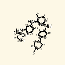 Cc1cnc(Nc2ccc(N3CCN(C)CC3)cc2)nc1Nc1cccc(NS(=O)(=O)CC(C)C)c1